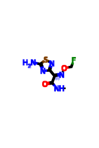 [NH]C(=O)/C(=N/OCF)c1nsc(N)n1